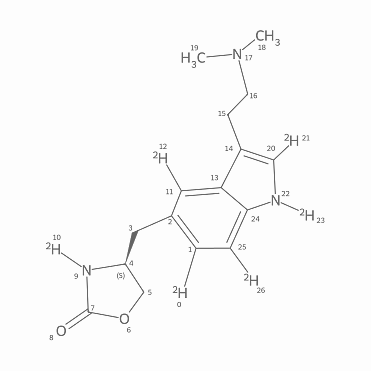 [2H]c1c(C[C@H]2COC(=O)N2[2H])c([2H])c2c(CCN(C)C)c([2H])n([2H])c2c1[2H]